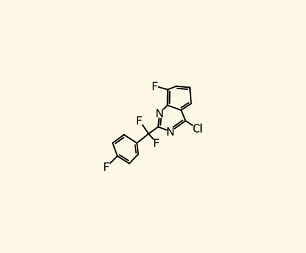 Fc1ccc(C(F)(F)c2nc(Cl)c3cccc(F)c3n2)cc1